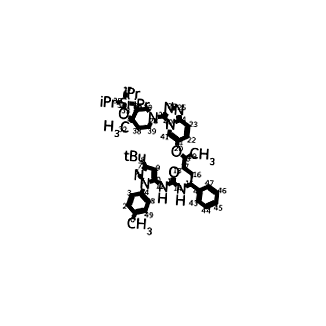 Cc1ccc(-n2nc(C(C)(C)C)cc2NC(=O)N[C@@H](CC[C@H](C)Oc2ccc3nnc(N4CCC(C)(O[Si](C(C)C)(C(C)C)C(C)C)CC4)n3c2)c2ccccc2)cc1